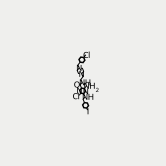 Nc1nc(NCc2ccc(I)cc2)c(Cl)nc1C(=O)NCCN1CCN(Cc2ccc(Cl)cc2)CC1